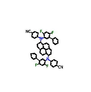 N#Cc1ccc(N(c2cc(-c3ccccc3)c(F)cc2F)c2ccc3ccc4c(N(c5ccc(C#N)cc5)c5cc(-c6ccccc6)c(F)cc5F)ccc5ccc2c3c54)cc1